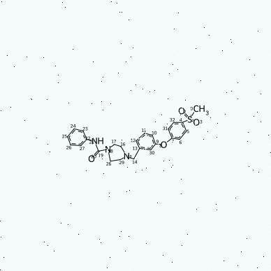 CS(=O)(=O)c1ccc(Oc2cccc(CN3CCN(C(=O)Nc4ccccc4)CC3)c2)cc1